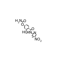 NC(=O)Oc1ccc(C(=O)Nc2ncc([N+](=O)[O-])s2)c(O)c1